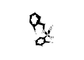 O=P(O)(OCc1ccccc1F)c1ccccc1F